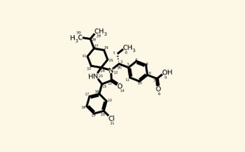 CC[C@H](c1ccc(C(=O)O)cc1)N1C(=O)C(c2cccc(Cl)c2)NC12CCC(C(C)C)CC2